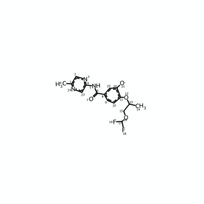 Cc1cnc(NC(=O)c2ccc(OC(C)COC(F)F)c([O])c2)cn1